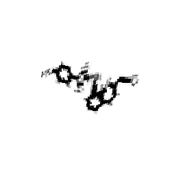 Cc1ccc(S(=O)(=O)Nc2cccc3ccc(C=O)nc23)cc1